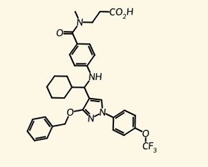 CN(CCC(=O)O)C(=O)c1ccc(NC(c2cn(-c3ccc(OC(F)(F)F)cc3)nc2OCc2ccccc2)C2CCCCC2)cc1